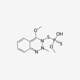 COC1=c2ccccc2=NN(C)N1SP(O)(=S)OC